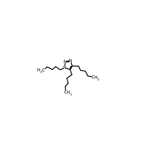 CCCCCc1nnn(CCCCC)c1CCCCC